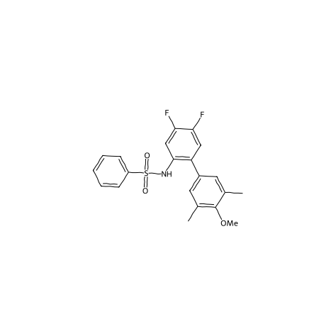 COc1c(C)cc(-c2cc(F)c(F)cc2NS(=O)(=O)c2ccccc2)cc1C